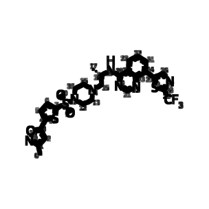 Cc1cc(-c2ccc(S(=O)(=O)N3CCN(C[C@H](C)Nc4ncnc5c(-c6cnc(C(F)(F)F)s6)cccc45)CC3)s2)on1